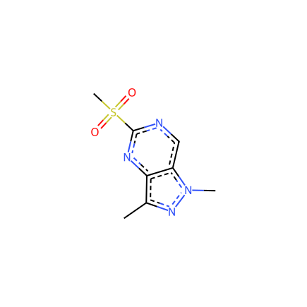 Cc1nn(C)c2cnc(S(C)(=O)=O)nc12